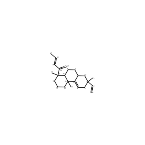 C=CC1(C)CC=C2C(CCC3C(C)(C(=O)/C=C/C)CCCC23C)C1